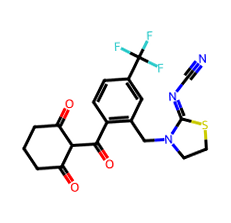 N#C/N=C1\SCCN1Cc1cc(C(F)(F)F)ccc1C(=O)C1C(=O)CCCC1=O